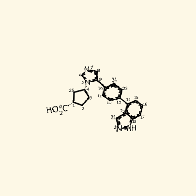 O=C(O)[C@H]1CC[C@@H](n2cncc2-c2ccc(-c3cccc4[nH]ncc34)cc2)C1